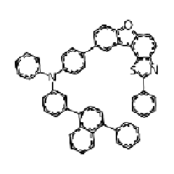 c1ccc(-c2nc3ccc4oc5ccc(-c6ccc(N(c7ccccc7)c7cccc(-c8ccc(-c9ccccc9)c9ccccc89)c7)cc6)cc5c4c3s2)cc1